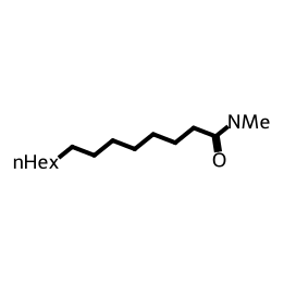 CCCCCCCCCCCCCC(=O)NC